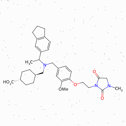 COc1cc(CN(C[C@H]2CC[C@H](C(=O)O)CC2)C(C)c2ccc3c(c2)CCC3)ccc1OCCN1C(=O)CN(C)C1=O